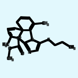 CCCSc1cnc2n1C1=C(C)C=CCC13C=CC=C(C)[N+]23C(=O)OC